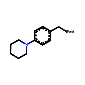 CCCC(C)Cc1ccc(N2CCCCC2)cc1